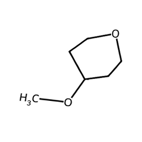 CO[C]1CCOCC1